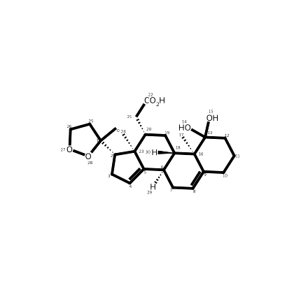 CC1([C@H]2CC=C3[C@@H]4CC=C5CCCC(O)(O)[C@]5(C)[C@H]4C[C@@H](CC(=O)O)[C@@]32C)CCOO1